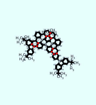 CC(C)(C)c1cc2c3c(c1)N(c1c(C4CCCCC4)cccc1C1CCCCC1)c1cc(-n4c5ccc(C(C)(C)C)cc5c5cc(C(C)(C)C)ccc54)ccc1B3c1ccc(-c3ccc(-n4c5ccc(C(C)(C)C)cc5c5cc(C(C)(C)C)ccc54)cc3)cc1N2c1c(C2CCCCC2)cccc1C1CCCCC1